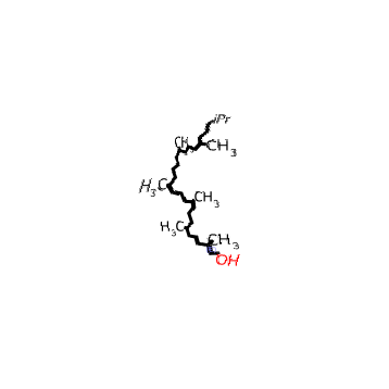 C/C(=C\CO)CCCC(C)CCCC(C)CCCC(C)CCCCC(C)CCCC(C)CCCC(C)C